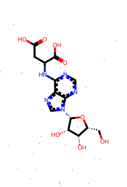 O=C(O)CC(Nc1ncnc2c1ncn2[C@@H]1O[C@H](CO)[C@H](O)[C@@H]1O)C(=O)O